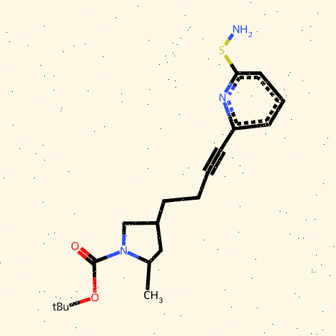 CC1CC(CCC#Cc2cccc(SN)n2)CN1C(=O)OC(C)(C)C